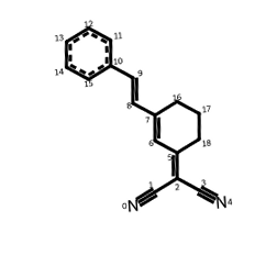 N#CC(C#N)=C1C=C(/C=C/c2ccccc2)CCC1